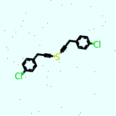 Clc1ccc(CC#CSC#CCc2ccc(Cl)cc2)cc1